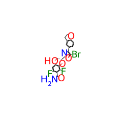 NC(=O)c1c(F)ccc(O[C@H](CO)c2nc(-c3ccc4c(c3)CCO4)c(Br)o2)c1F